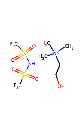 C[N+](C)(C)CCO.O=S(=O)(NS(=O)(=O)C(F)(F)F)C(F)(F)F